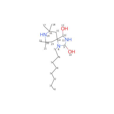 CCCCCCCCN1C(O)NC(O)C12CC(C)(C)NC(C)(C)C2